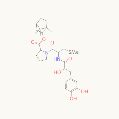 CSCC(NC(=O)C(O)Cc1ccc(O)c(O)c1)C(=O)N1CCCC1C(=O)OC1CC2CCC1(C)C2(C)C